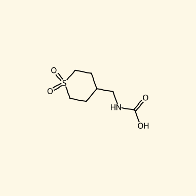 O=C(O)NCC1CCS(=O)(=O)CC1